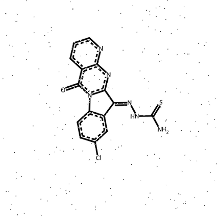 NC(=S)N/N=C1\c2cc(Cl)ccc2-n2c1nc1ncccc1c2=O